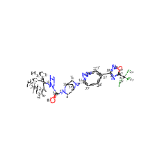 CC(C)(C)NC(=O)N1CC2CC1CN2c1ccc(-c2noc(C(F)(F)F)n2)cn1